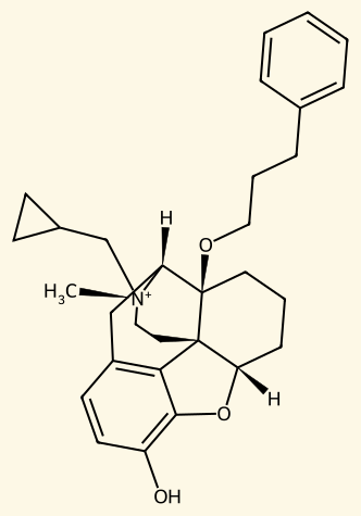 C[N@+]1(CC2CC2)CC[C@]23c4c5ccc(O)c4O[C@H]2CCC[C@@]3(OCCCc2ccccc2)[C@H]1C5